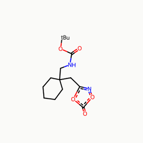 CC(C)(C)OC(=O)NCC1(Cc2noc(=O)o2)CCCCC1